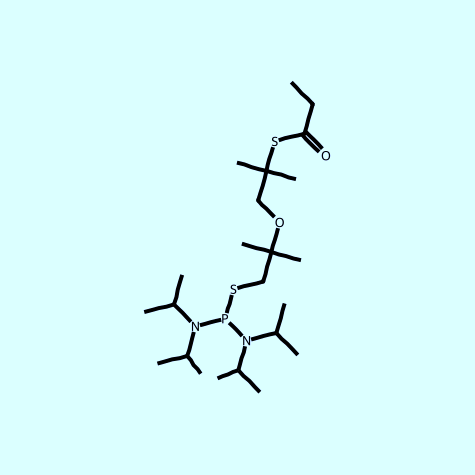 CCC(=O)SC(C)(C)COC(C)(C)CSP(N(C(C)C)C(C)C)N(C(C)C)C(C)C